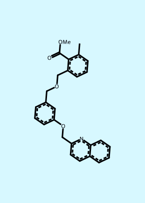 COC(=O)c1c(C)cccc1COCc1cccc(OCc2ccc3ccccc3n2)c1